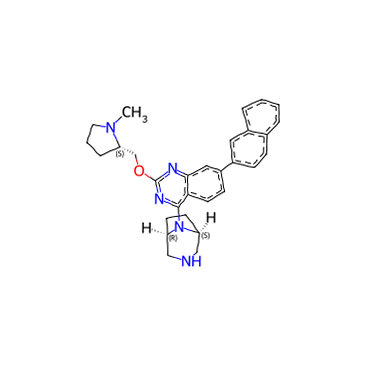 CN1CCC[C@H]1COc1nc(N2[C@@H]3CC[C@H]2CNC3)c2ccc(-c3ccc4ccccc4c3)cc2n1